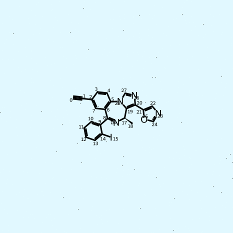 C#Cc1ccc2c(c1)C(c1ccccc1I)=N[C@H](C)c1c(-c3cnco3)ncn1-2